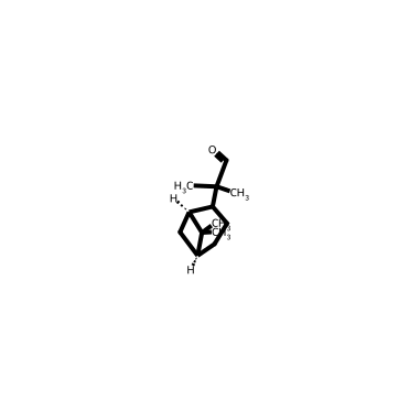 CC(C)(C=O)C1CC[C@H]2C[C@@H]1C2(C)C